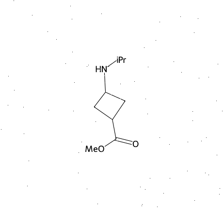 COC(=O)C1CC(NC(C)C)C1